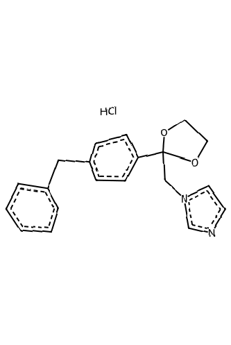 Cl.c1ccc(Cc2ccc(C3(Cn4ccnc4)OCCO3)cc2)cc1